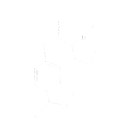 CCC(Oc1ccc2c(c1)COC2=O)C1CCCN1CC